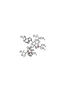 CC(C)OC(=O)[C@H](C)N[P@](=O)(OC[C@@]1(C#N)O[C@@H](c2ccc3c(N)ncnn23)[C@H](OC(=O)C(C)C)[C@@H]1OC(=O)C(C)C)Oc1ccccc1